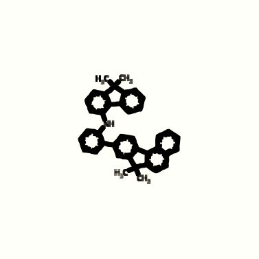 CC1(C)c2ccccc2-c2c(Nc3ccccc3-c3ccc4c(c3)C(C)(C)c3ccc5ccccc5c3-4)cccc21